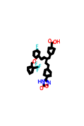 O=C(O)c1ccc(CC(C=Cc2cc(F)ccc2OCc2ccccc2C(F)(F)F)CCc2ccc(-c3noc(=O)[nH]3)cc2)cc1